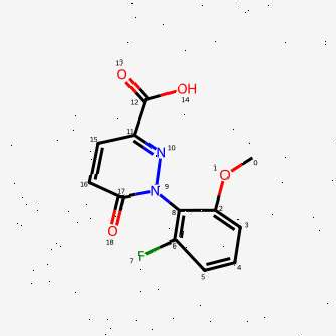 COc1cccc(F)c1-n1nc(C(=O)O)ccc1=O